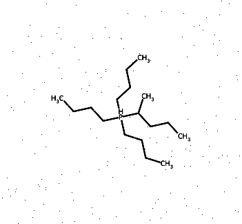 CCCC[PH](CCCC)(CCCC)C(C)CCC